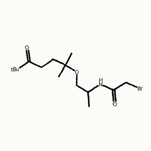 CC(COC(C)(C)CCC(=O)C(C)(C)C)NC(=O)CBr